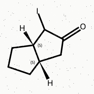 O=C1C[C@@H]2CCC[C@@H]2C1I